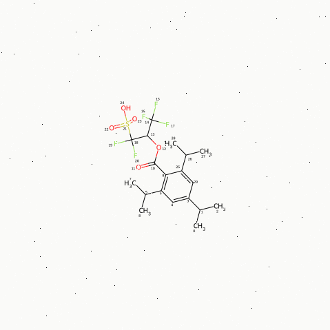 CC(C)c1cc(C(C)C)c(C(=O)OC(C(F)(F)F)C(F)(F)S(=O)(=O)O)c(C(C)C)c1